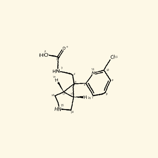 O=C(O)NCC1(c2cccc(Cl)n2)[C@@H]2CNC[C@@H]21